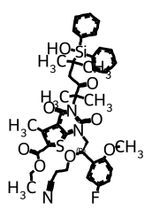 CCOC(=O)c1sc2c(c1C)c(=O)n(C(C)(C)C(=O)CC(C)(C)[Si](O)(c1ccccc1)c1ccccc1)c(=O)n2C[C@H](OCCC#N)c1cc(F)ccc1OC